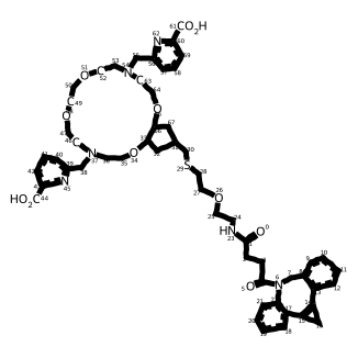 O=C(CCC(=O)N1Cc2ccccc2C2=C(C2)c2ccccc21)NCCOCCSCC1CC2OCCN(Cc3cccc(C(=O)O)n3)CCOCCOCCN(Cc3cccc(C(=O)O)n3)CCOC2C1